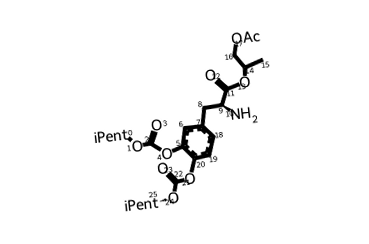 CCCC(C)OC(=O)Oc1cc(C[C@H](N)C(=O)OC(C)COC(C)=O)ccc1OC(=O)O[C@@H](C)CCC